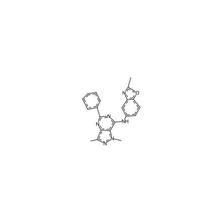 Cc1nc2cc(Nc3nc(-c4ccccc4)nc4c(C)nn(C)c34)ccc2o1